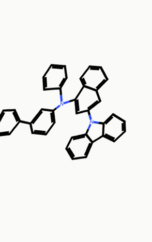 c1ccc(-c2cccc(N(c3ccccc3)c3cc(-n4c5ccccc5c5ccccc54)cc4ccccc34)c2)cc1